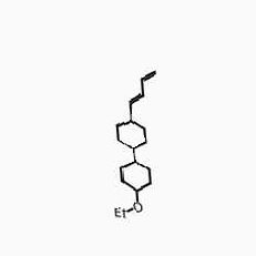 C=CC=CC1CCC(C2CCC(OCC)CC2)CC1